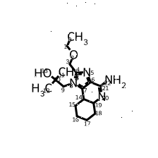 CCOCc1nc2c(n1CC(C)(C)O)C1CCCCC1N=C2N